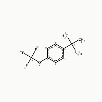 CC(C)(C)c1ccc(OC(F)(F)F)cc1